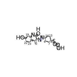 Cc1c(/N=N/c2ccc(SOOO)cc2)c(O)nc2cc(O)ccc12